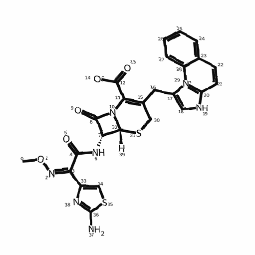 CO/N=C(\C(=O)N[C@@H]1C(=O)N2C(C(=O)[O-])=C(Cc3c[nH]c4ccc5ccccc5[n+]34)CS[C@H]12)c1csc(N)n1